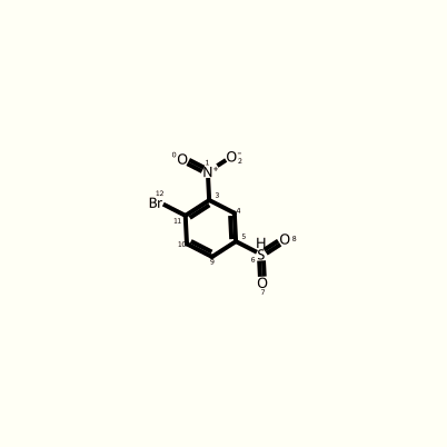 O=[N+]([O-])c1cc([SH](=O)=O)ccc1Br